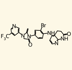 C=C1N(c2cncc(C(F)(F)F)c2)CC(=O)N1c1ccc(Nc2ccnc3c2CCC(=O)N3)c(Br)c1